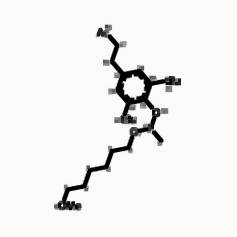 COCCCCCCOP(C)Oc1c(C(C)(C)C)cc(CCC(C)=O)cc1C(C)(C)C